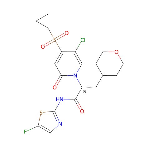 O=C(Nc1ncc(F)s1)[C@@H](CC1CCOCC1)n1cc(Cl)c(S(=O)(=O)C2CC2)cc1=O